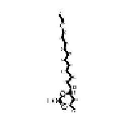 CCCCCCCCCCCCCCC(CCC)OC(=O)O